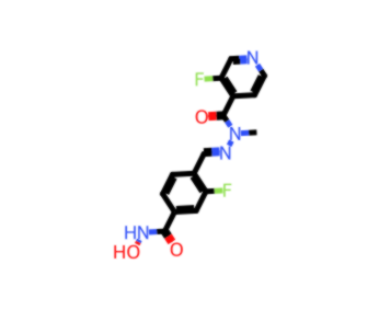 CN(N=Cc1ccc(C(=O)NO)cc1F)C(=O)c1ccncc1F